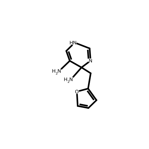 NC1=CNC=NC1(N)Cc1ccco1